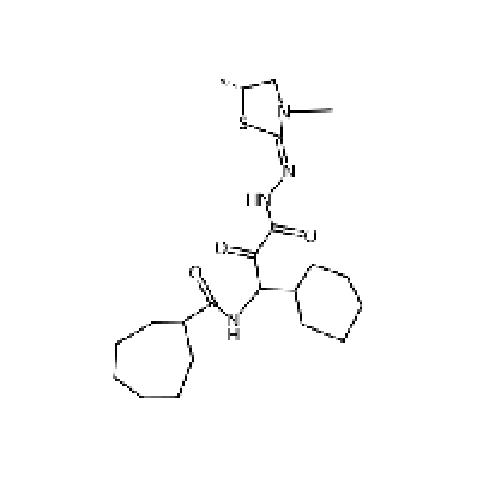 C[C@@H]1CN(C)/C(=N/NC(=O)C(=O)C(NC(=O)C2CCCCCC2)C2CCCCC2)S1